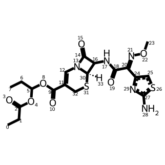 CCC(=O)OC(CC)OC(=O)C1=CN2C(=O)C(NC(=O)C(=NOC)c3csc(N)n3)[C@H]2SC1